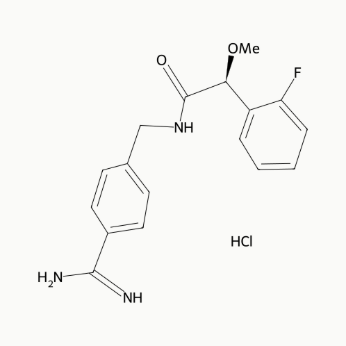 CO[C@H](C(=O)NCc1ccc(C(=N)N)cc1)c1ccccc1F.Cl